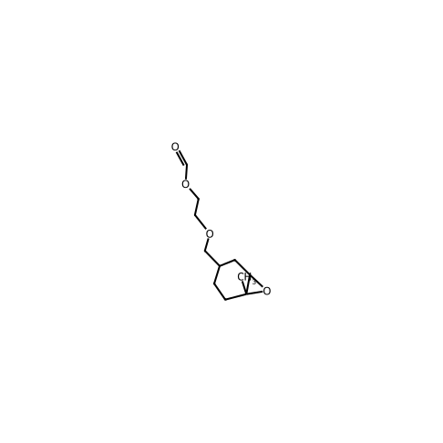 CC12CCC(COCCOC=O)CC1O2